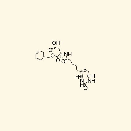 O=C(O)C[C@@H](NC(=O)CCCC[C@@H]1SC[C@@H]2NC(=O)N[C@@H]21)C(=O)OCc1ccccc1